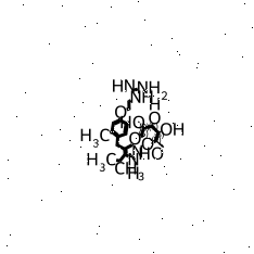 Cc1cc(OCCNC(=N)N)ccc1Cc1c(O[C@@H]2O[C@H](CO)[C@@H](O)[C@H](O)[C@H]2O)n[nH]c1C(C)C